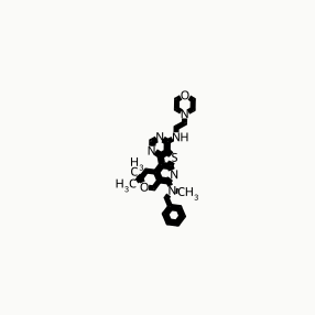 CN(Cc1ccccc1)c1nc2sc3c(NCCN4CCOCC4)ncnc3c2c2c1COC(C)(C)C2